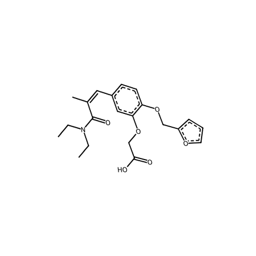 CCN(CC)C(=O)/C(C)=C\c1ccc(OCc2ccco2)c(OCC(=O)O)c1